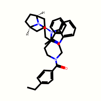 CCc1ccc(C(=O)N2CCC(CCN3[C@@H]4CC[C@H]3C[C@@H](n3c(C)nc5ccccc53)C4)(c3ccccc3)CC2)cc1